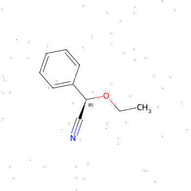 CCO[C@@H](C#N)c1ccccc1